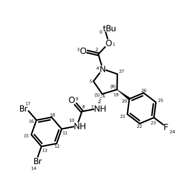 CC(C)(C)OC(=O)N1C[C@@H](NC(=O)Nc2cc(Br)cc(Br)c2)[C@H](c2ccc(F)cc2)C1